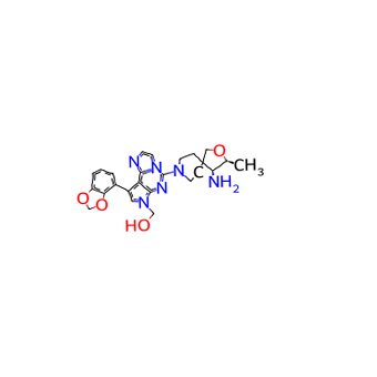 C[C@@H]1OCC2(CCN(c3nc4c(c(-c5cccc6c5OCO6)cn4CO)c4nccn34)CC2)[C@@H]1N